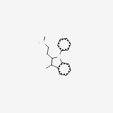 CNCCC1C(C)c2ccccc2N1c1ccccc1